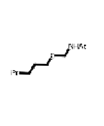 CC(=O)NCOCCCC(C)C